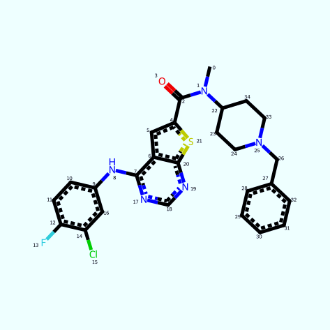 CN(C(=O)c1cc2c(Nc3ccc(F)c(Cl)c3)ncnc2s1)C1CCN(Cc2ccccc2)CC1